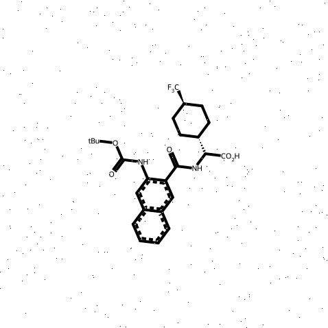 CC(C)(C)OC(=O)Nc1cc2ccccc2cc1C(=O)NC(C(=O)O)[C@H]1CC[C@H](C(F)(F)F)CC1